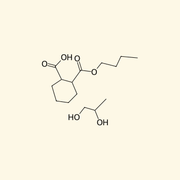 CC(O)CO.CCCCOC(=O)C1CCCCC1C(=O)O